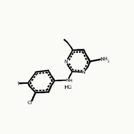 Cc1cc(N)nc(Nc2ccc(I)c(Cl)c2)n1.Cl